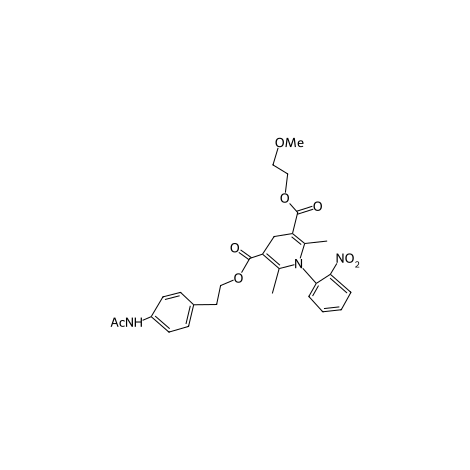 COCCOC(=O)C1=C(C)N(c2ccccc2[N+](=O)[O-])C(C)=C(C(=O)OCCc2ccc(NC(C)=O)cc2)C1